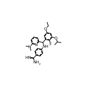 CCOc1cc(OC(C)C)c(F)c(C(Nc2ccc(C(=N)N)cc2)c2cccc(N(C)C)n2)c1